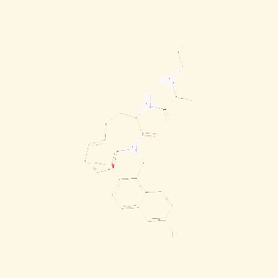 CCCNC(C)C(=O)NC1CCc2ccccc2N(Cc2c(OC)ccc3cc(Br)ccc23)C1=O